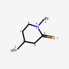 CCCC1CCN(C(C)C)C(=S)C1